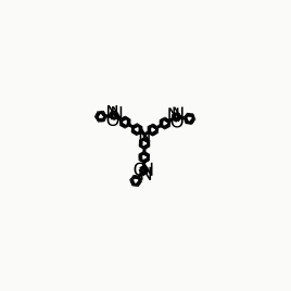 c1ccc(-c2nnc(-c3ccc(-c4ccc(N(c5ccc(-c6ccc(-c7nnc(-c8ccccc8)o7)cc6)cc5)c5ccc(-c6ccc(-c7nnc(-c8ccccc8)o7)cc6)cc5)cc4)cc3)o2)cc1